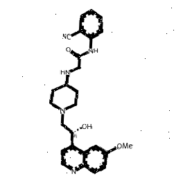 COc1ccc2nccc([C@@H](O)CN3CCC(NCC(=O)Nc4ccccc4C#N)CC3)c2c1